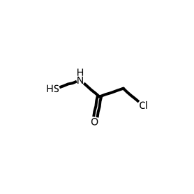 O=C(CCl)NS